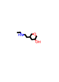 CCNCCC1COCC(O)C1